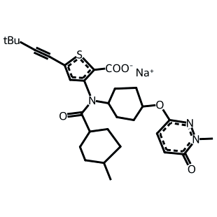 CC1CCC(C(=O)N(c2cc(C#CC(C)(C)C)sc2C(=O)[O-])C2CCC(Oc3ccc(=O)n(C)n3)CC2)CC1.[Na+]